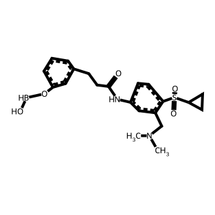 CN(C)Cc1cc(NC(=O)CCc2cccc(OBO)c2)ccc1S(=O)(=O)C1CC1